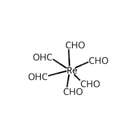 O=[CH][Re]([CH]=O)([CH]=O)([CH]=O)([CH]=O)[CH]=O